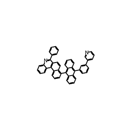 c1ccc(-c2nc3ccccc3c3c2ccc2c(-c4c5ccccc5c(-c5cccc(-c6cccnc6)c5)c5ccccc45)cccc23)cc1